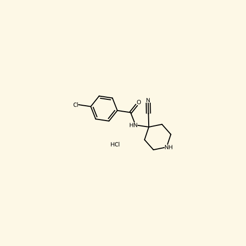 Cl.N#CC1(NC(=O)c2ccc(Cl)cc2)CCNCC1